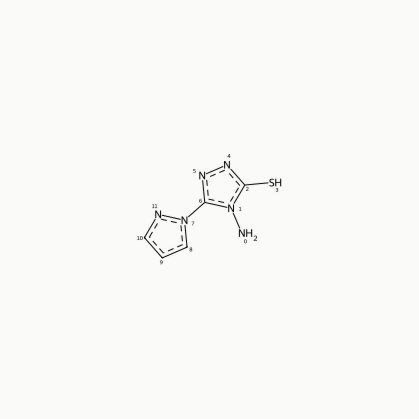 Nn1c(S)nnc1-n1cccn1